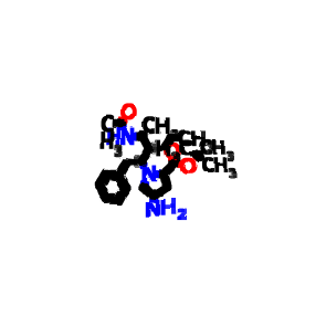 CCC[C@@H](C(C)NC(C)=O)[C@H](Cc1ccccc1)N1CC(N)CC1C(=O)OC(C)(C)C